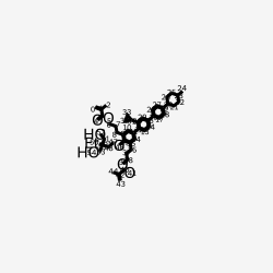 C=C(C)C(=O)OCCCc1cc(-c2ccc(-c3ccc(C4CCC(C)CC4)cc3)cc2C2CC2)cc(CCCOC(=O)C(=C)C)c1OCCC(CC)(CO)CO